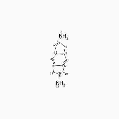 NC1=Cc2cc3c(cc2C1)C=C(N)C3